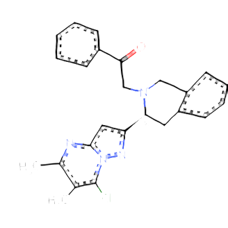 Cc1nc2cc([C@@H]3Cc4ccccc4CN3CC(=O)c3ccccc3)nn2c(Cl)c1C